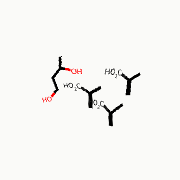 C=C(C)C(=O)O.C=C(C)C(=O)O.C=C(C)C(=O)O.CC(O)CCO